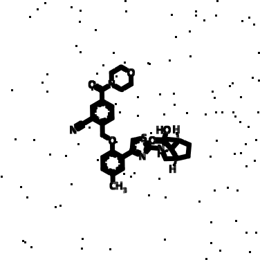 Cc1ccc(OCc2ccc(C(=O)N3CCOCC3)cc2C#N)c(-c2csc(N3C[C@H]4CC[C@@H](C3)[C@H]4C(=O)O)n2)c1